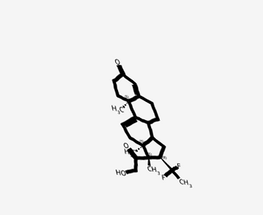 CC(F)(F)[C@@H]1CC2C3CCC4=CC(=O)CC[C@]4(C)C3=CC[C@]2(C)[C@@]1(C)C(=O)CO